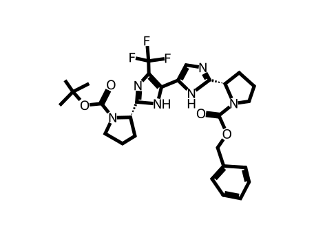 CC(C)(C)OC(=O)N1CCC[C@H]1c1nc(C(F)(F)F)c(-c2cnc([C@@H]3CCCN3C(=O)OCc3ccccc3)[nH]2)[nH]1